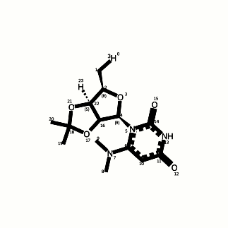 [3H]C[C@H]1O[C@@H](n2c(N(C)C)cc(=O)[nH]c2=O)C2OC(C)(C)O[C@H]21